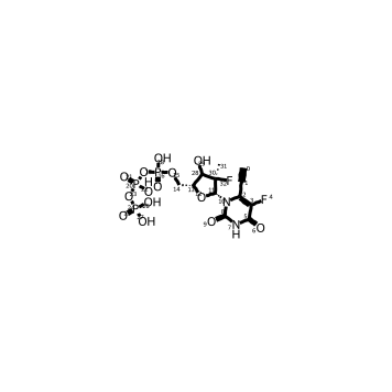 C#Cc1c(F)c(=O)[nH]c(=O)n1[C@@H]1O[C@H](COP(=O)(O)OP(=O)(O)OP(=O)(O)O)C(O)[C@@]1(C)F